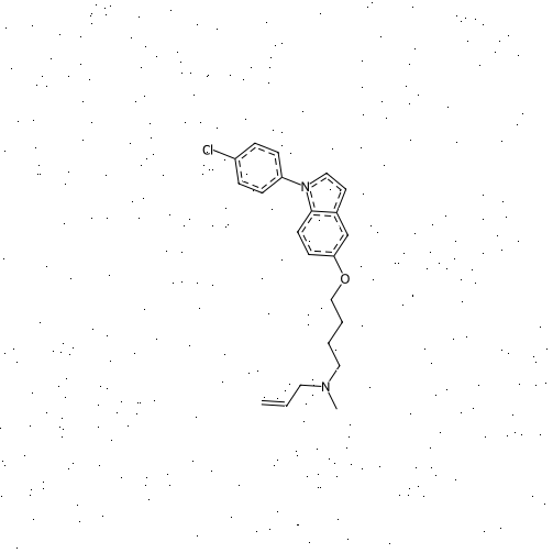 C=CCN(C)CCCCOc1ccc2c(ccn2-c2ccc(Cl)cc2)c1